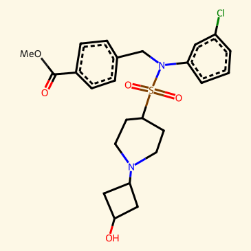 COC(=O)c1ccc(CN(c2cccc(Cl)c2)S(=O)(=O)C2CCN(C3CC(O)C3)CC2)cc1